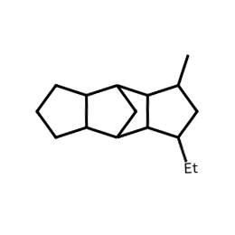 CCC1CC(C)C2C3CC(C4CCCC43)C12